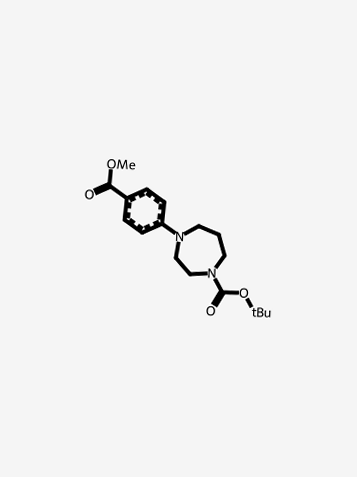 COC(=O)c1ccc(N2CCCN(C(=O)OC(C)(C)C)CC2)cc1